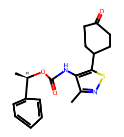 Cc1nsc(C2CCC(=O)CC2)c1NC(=O)O[C@H](C)c1ccccc1